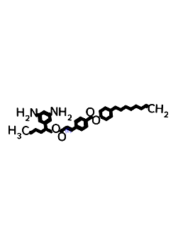 C=CCCCCCCC1CCC(OC(=O)c2ccc(/C=C/C(=O)OCC(CCCC)c3cc(N)cc(N)c3)cc2)CC1